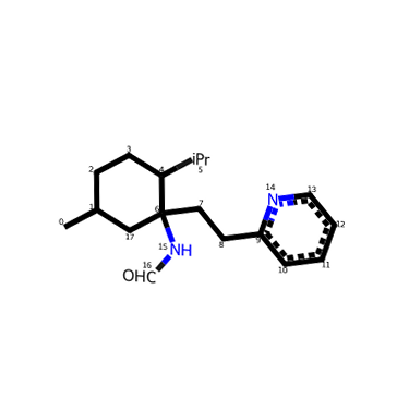 CC1CCC(C(C)C)C(CCc2ccccn2)(NC=O)C1